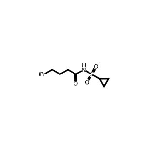 CC(C)CCCC(=O)NS(=O)(=O)C1CC1